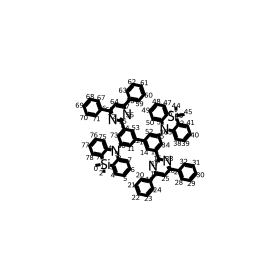 C[Si]1(C)c2ccccc2N(c2cc(-c3cc(-c4nc(-c5ccccc5)cc(-c5ccccc5)n4)cc(N4c5ccccc5[Si](C)(C)c5ccccc54)c3)cc(-c3nc(-c4ccccc4)cc(-c4ccccc4)n3)c2)c2ccccc21